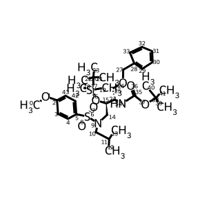 COc1ccc(S(=O)(=O)N(CC(C)C)C[C@@H](O[Si](C)(C)C(C)(C)C)[C@H](COCc2ccccc2)NC(=O)OC(C)(C)C)cc1